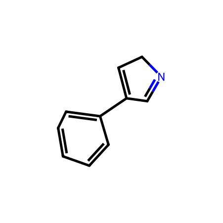 C1=NCC=C1c1ccccc1